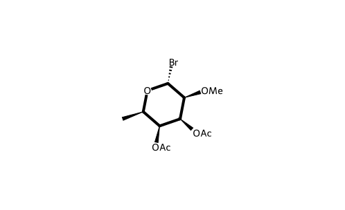 CO[C@H]1[C@@H](OC(C)=O)[C@@H](OC(C)=O)[C@@H](C)O[C@@H]1Br